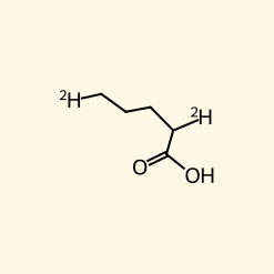 [2H]CCCC([2H])C(=O)O